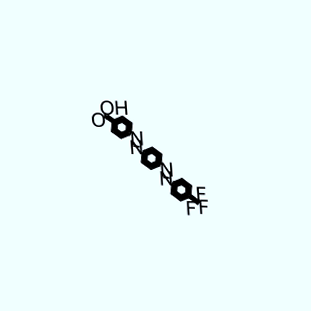 O=C(O)c1ccc(N=Nc2ccc(N=Nc3ccc(C(F)(F)F)cc3)cc2)cc1